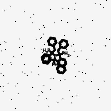 PC(Cc1ccccc1)(c1ccccc1)P(C(P)(Cc1ccccc1)c1ccccc1)C(P)(Cc1ccccc1)c1ccccc1